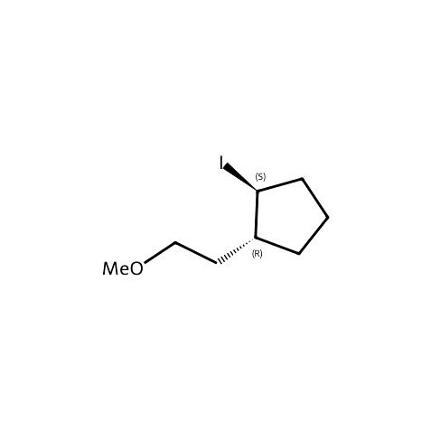 COCC[C@H]1CCC[C@@H]1I